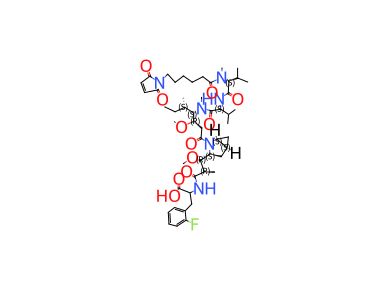 CC[C@H](C)[C@@H]([C@@H](CC(=O)N1[C@H]2C[C@H]2C[C@H]1[C@H](OC)[C@@H](C)C(=O)NC(Cc1ccccc1F)C(=O)O)OC)N(C)C(=O)[C@@H](NC(=O)[C@H](C(C)C)N(C)C(=O)CCCCCN1C(=O)C=CC1=O)C(C)C